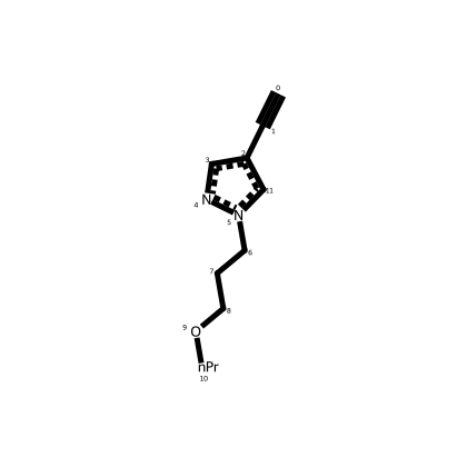 C#Cc1cnn(CCCOCCC)c1